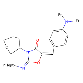 CCCCCCC/N=C1/O/C(=C/c2ccc(N(CC)CC)cc2)C(=O)N1C1CCCCC1